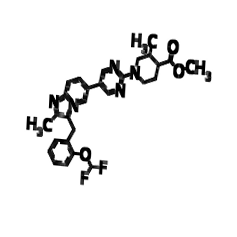 COC(=O)C1CCN(c2ncc(-c3ccc4nc(C)c(Cc5ccccc5OC(F)F)n4c3)cn2)CC1C